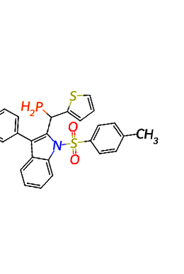 Cc1ccc(S(=O)(=O)n2c(C(P)c3cccs3)c(-c3ccccc3)c3ccccc32)cc1